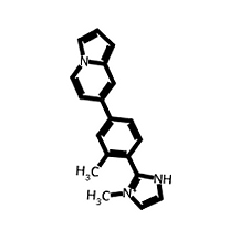 Cc1cc(-c2ccn3cccc3c2)ccc1-c1[nH]cc[n+]1C